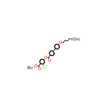 CCCCCCCCCCCCCCOc1ccc(-c2ccc(C(=O)Oc3ccc(C(=O)OC[C@@H](C)CC)c(Cl)c3)cc2)cc1